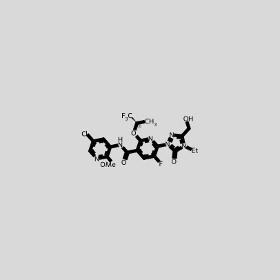 CCn1c(CO)nn(-c2nc(O[C@@H](C)C(F)(F)F)c(C(=O)Nc3cc(Cl)cnc3OC)cc2F)c1=O